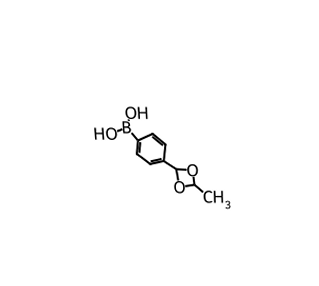 CC1OC(c2ccc(B(O)O)cc2)O1